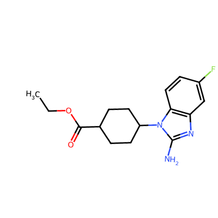 CCOC(=O)C1CCC(n2c(N)nc3cc(F)ccc32)CC1